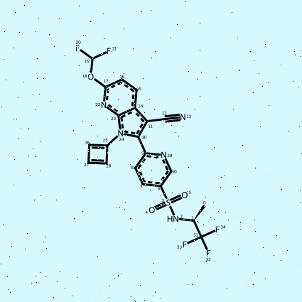 C[C@H](NS(=O)(=O)c1ccc(-c2c(C#N)c3ccc(OC(F)F)nc3n2C2=CC=C2)nc1)C(F)(F)F